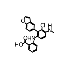 CNc1ccc(Nc2ccccc2C(=O)O)c(-c2ccc3occc3c2)c1Cl